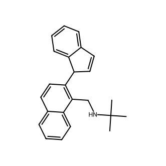 CC(C)(C)NCc1c(C2C=Cc3ccccc32)ccc2ccccc12